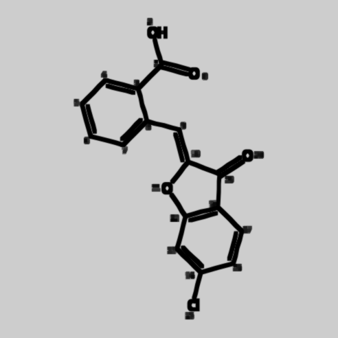 O=C(O)c1ccccc1/C=C1\Oc2cc(Cl)ccc2C1=O